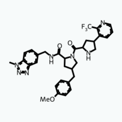 COc1ccc(CC2CC(C(=O)NCc3ccc4c(c3)nnn4C)N(C(=O)C3CC(c4cccnc4C(F)(F)F)CN3)C2)cc1